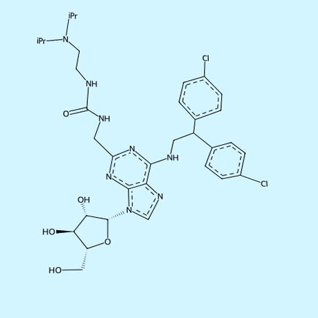 CC(C)N(CCNC(=O)NCc1nc(NCC(c2ccc(Cl)cc2)c2ccc(Cl)cc2)c2ncn([C@@H]3O[C@H](CO)[C@@H](O)[C@@H]3O)c2n1)C(C)C